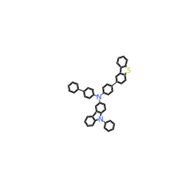 c1ccc(-c2ccc(N(c3ccc(-c4ccc5sc6ccccc6c5c4)cc3)c3ccc4c(c3)c3ccccc3n4-c3ccccc3)cc2)cc1